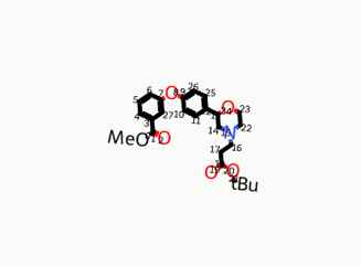 COC(=O)c1cccc(Oc2ccc(C3CN(CCC(=O)OC(C)(C)C)CCO3)cc2)c1